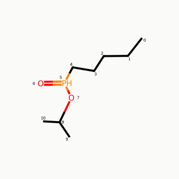 CCCCC[PH](=O)OC(C)C